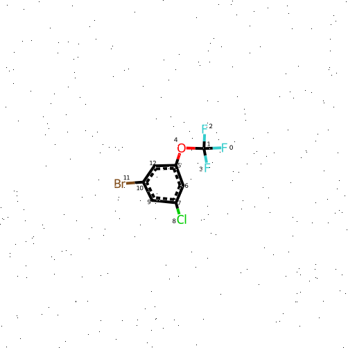 FC(F)(F)Oc1cc(Cl)cc(Br)c1